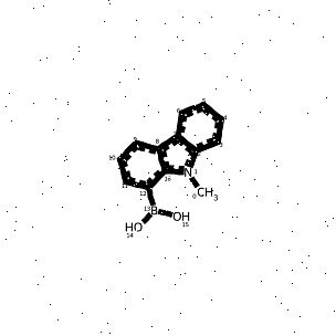 Cn1c2ccccc2c2cccc(B(O)O)c21